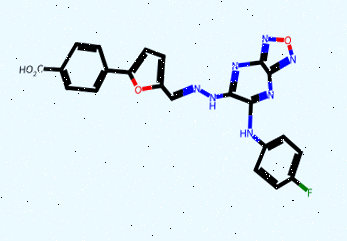 O=C(O)c1ccc(-c2ccc(C=NNc3nc4nonc4nc3Nc3ccc(F)cc3)o2)cc1